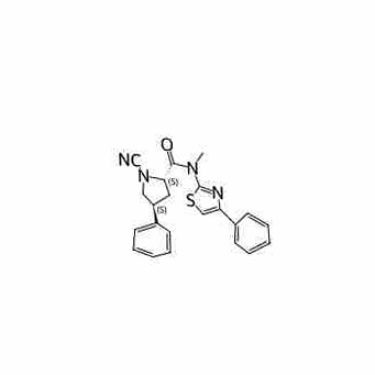 CN(C(=O)[C@@H]1C[C@@H](c2ccccc2)CN1C#N)c1nc(-c2ccccc2)cs1